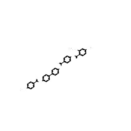 COc1cc(O)ccc1C(=O)Oc1ccc(C(=O)Oc2ccc(-c3ccc(OC(=O)c4ccc(O)cc4)cc3)cc2)cc1